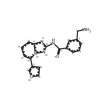 NCc1cccc(C(=O)Nc2nc3cccc(-c4ccoc4)n3n2)c1